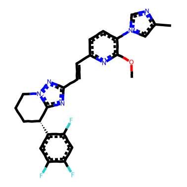 COc1nc(/C=C/c2nc3n(n2)CCC[C@H]3c2cc(F)c(F)cc2F)ccc1-n1cnc(C)c1